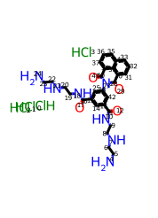 Cl.Cl.Cl.Cl.NCCNCCNC(=O)c1cc(C(=O)NCCNCCN)cc(N2C(=O)c3cccc4cccc(c34)C2=O)c1